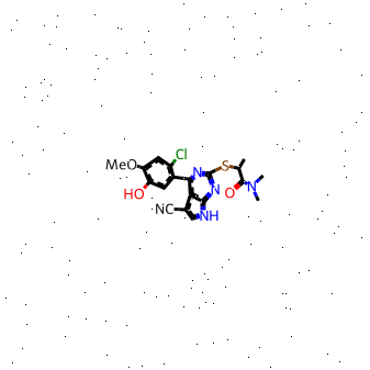 COc1cc(Cl)c(-c2nc(SC(C)C(=O)N(C)C)nc3[nH]cc(C#N)c23)cc1O